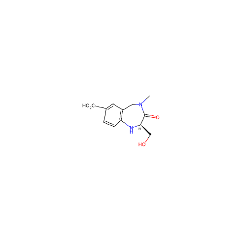 CN1Cc2cc(C(=O)O)ccc2N[C@H](CO)C1=O